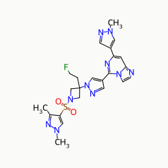 Cc1nn(C)cc1S(=O)(=O)N1CC(CCF)(n2cc(-c3nc(-c4cnn(C)c4)cc4nccn34)cn2)C1